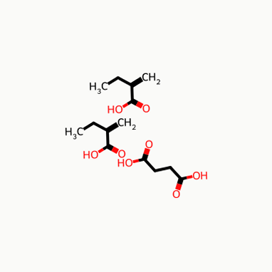 C=C(CC)C(=O)O.C=C(CC)C(=O)O.O=C(O)CCC(=O)O